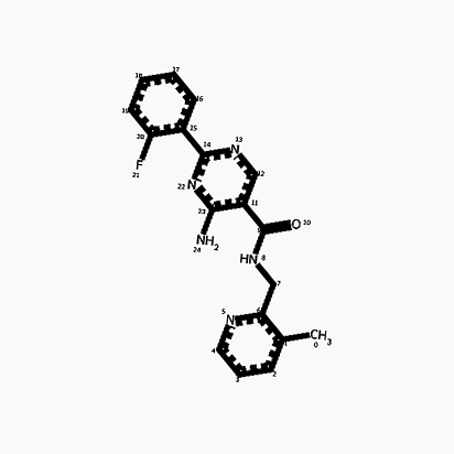 Cc1cccnc1CNC(=O)c1cnc(-c2ccccc2F)nc1N